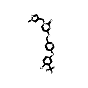 Cn1cc(Cn2ccc(OCc3ccc(Oc4ccc(Cl)c(C(F)(F)F)c4)cn3)nc2=O)cn1